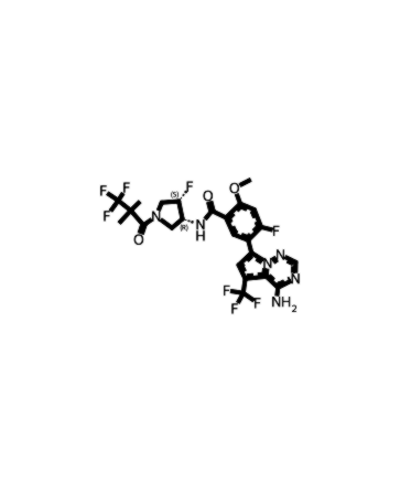 COc1cc(F)c(-c2cc(C(F)(F)F)c3c(N)ncnn23)cc1C(=O)N[C@@H]1CN(C(=O)C(C)(C)C(F)(F)F)C[C@@H]1F